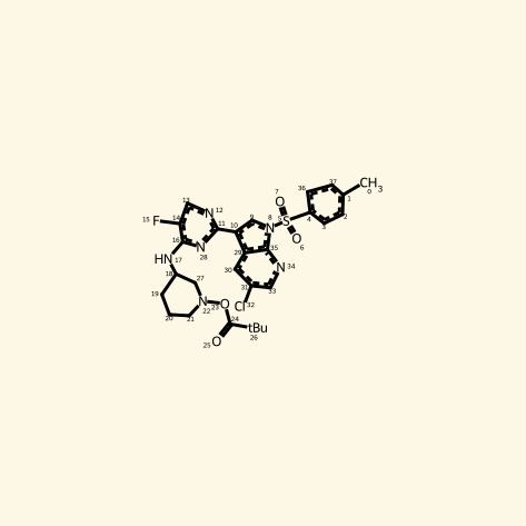 Cc1ccc(S(=O)(=O)n2cc(-c3ncc(F)c(NC4CCCN(OC(=O)C(C)(C)C)C4)n3)c3cc(Cl)cnc32)cc1